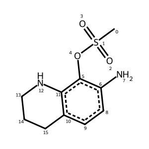 CS(=O)(=O)Oc1c(N)ccc2c1NCCC2